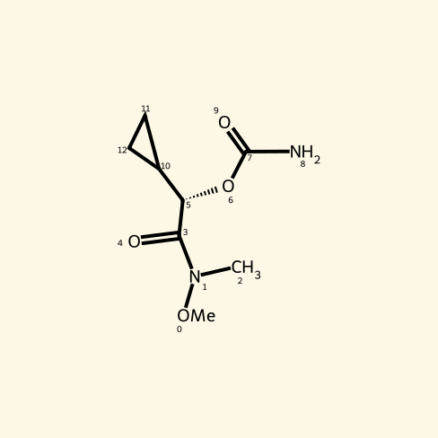 CON(C)C(=O)[C@@H](OC(N)=O)C1CC1